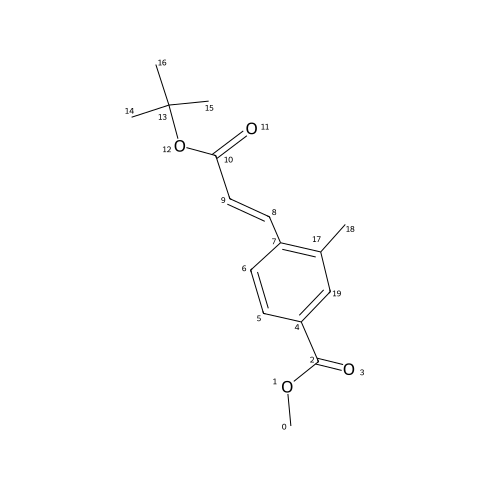 COC(=O)c1ccc(C=CC(=O)OC(C)(C)C)c(C)c1